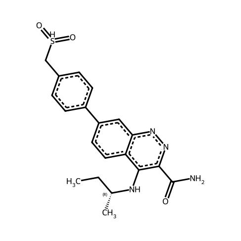 CC[C@@H](C)Nc1c(C(N)=O)nnc2cc(-c3ccc(C[SH](=O)=O)cc3)ccc12